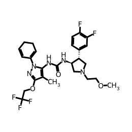 COCCN1C[C@@H](NC(=O)Nc2c(C)c(OCC(F)(F)F)nn2C2=CCCC=C2)[C@H](c2ccc(F)c(F)c2)C1